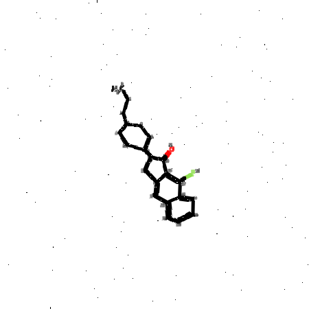 CCCC1CCC(C2Cc3cc4ccccc4c(F)c3C2=O)CC1